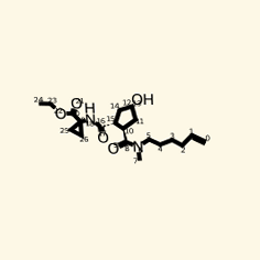 C=CCCCCN(C)C(=O)[C@@H]1C[C@@H](O)C[C@H]1C(=O)NC1(C(=O)OCC)CC1